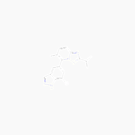 Cc1ccc2nc(C(C)C)nn2c1-c1cc(Cl)c2[nH]ncc2c1